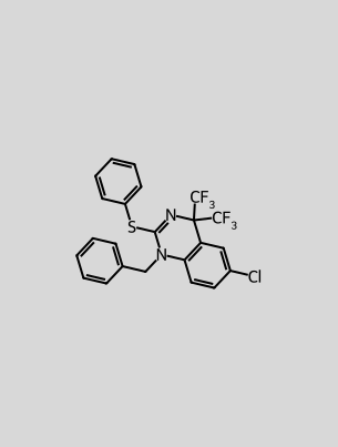 FC(F)(F)C1(C(F)(F)F)N=C(Sc2ccccc2)N(Cc2ccccc2)c2ccc(Cl)cc21